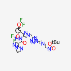 CN(CCN1CC(n2nnc(Cn3cc(NC(=O)c4cnn5cccnc45)c(-c4cc(OC(F)F)ccc4OC(F)F)n3)n2)C1)C(=O)OC(C)(C)C